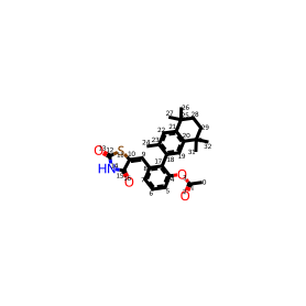 CC(=O)Oc1cccc(/C=C2/SC(=O)NC2=O)c1-c1cc2c(cc1C)C(C)(C)CCC2(C)C